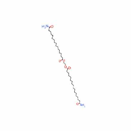 NC(=O)CCCCCCCCCCCCCCCCC(=O)OCCOC(=O)CCCCCCCCCCCCCCCCC(N)=O